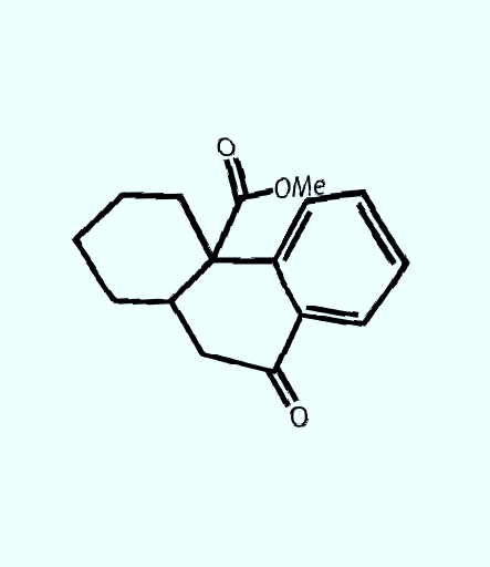 COC(=O)C12CCCCC1CC(=O)c1ccccc12